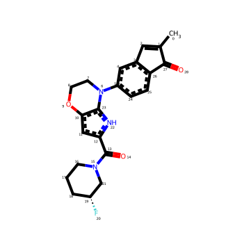 CC1=Cc2cc(N3CCOc4cc(C(=O)N5CCC[C@@H](F)C5)[nH]c43)ccc2C1=O